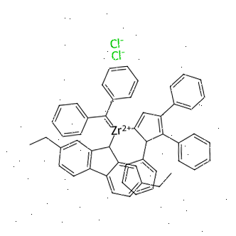 CCc1ccc2c(c1)[CH]([Zr+2]([C]1=CC(c3ccccc3)=C(c3ccccc3)C1c1ccccc1)=[C](c1ccccc1)c1ccccc1)c1cc(CC)ccc1-2.[Cl-].[Cl-]